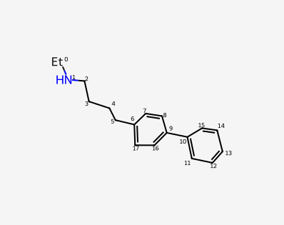 CCNCCCCc1ccc(-c2ccccc2)cc1